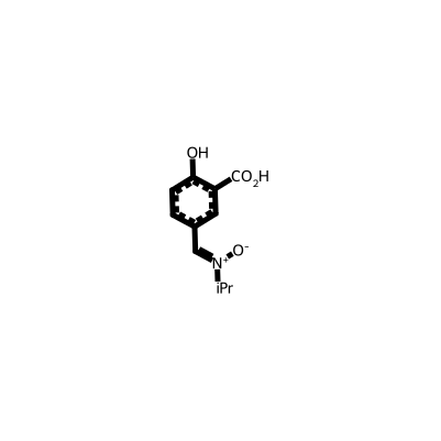 CC(C)/[N+]([O-])=C/c1ccc(O)c(C(=O)O)c1